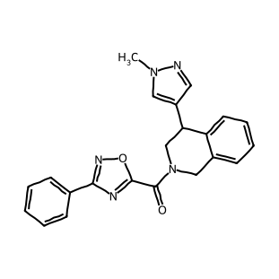 Cn1cc(C2CN(C(=O)c3nc(-c4ccccc4)no3)Cc3ccccc32)cn1